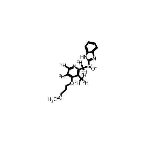 [2H]c1nc(C([2H])([2H])[S+]([O-])c2nc3ccccc3[nH]2)c(C([2H])([2H])[2H])c(OCCCOC)c1[2H]